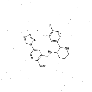 COc1ccc(-n2cnnn2)cc1CNC1CCCNC1c1ccc(F)c(F)c1